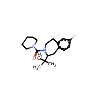 CC(C)(C)C1Cc2ccc(F)cc2CCN1C(=O)N1CCCCC1